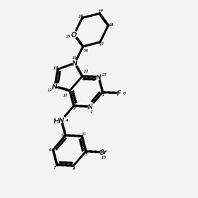 Fc1nc(Nc2cccc(Br)c2)c2ncn(C3CCCCO3)c2n1